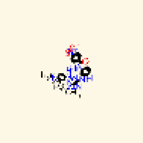 CC(C)n1cnc2c(Nc3cccc(NC(=O)c4ccc([N+](=O)[O-])cc4)c3)nc(N[C@H]3CC[C@H](N(C)C)CC3)nc21